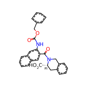 O=C(Nc1cc2ccccc2cc1C(=O)N1Cc2ccccc2C[C@@H]1C(=O)O)OCc1ccccc1